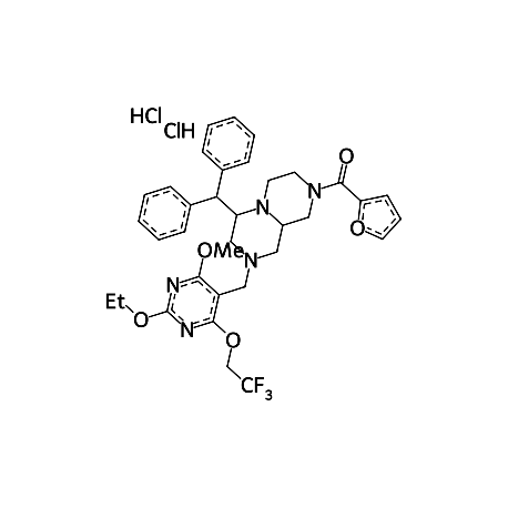 CCOc1nc(OC)c(CN2CC3CN(C(=O)c4ccco4)CCN3C(C(c3ccccc3)c3ccccc3)C2)c(OCC(F)(F)F)n1.Cl.Cl